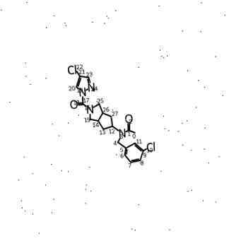 CC(=O)N(Cc1cccc(Cl)c1)C1CC2CN(C(=O)n3cc(Cl)cn3)CC2C1